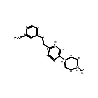 CC(=O)Oc1cccc(CCc2ccc(N3CCN(C(C)=O)CC3)cn2)c1